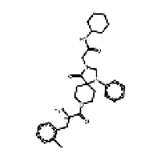 Cc1ccccc1C[C@@H](N)C(=O)N1CCC2(CC1)C(=O)N(CC(=O)NC1CCCCC1)CN2c1ccccc1